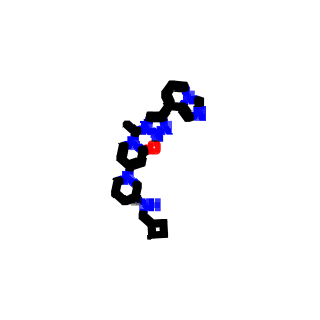 CC(n1cc(-c2cccn3cncc23)nn1)n1ccc(N2CCC[C@@H](NCC3CCC3)C2)cc1=O